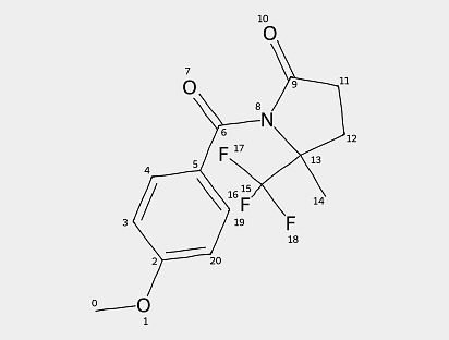 COc1ccc(C(=O)N2C(=O)CCC2(C)C(F)(F)F)cc1